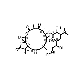 CC[C@H]1OC(=O)C(C)C(=O)[C@H](C)[C@@H](O[C@@H]2O[C@H](C(O)CNC(C)C)CC(N(C)C)C2O)[C@](C)(OC)C[C@@H](C)CN[C@H](C)[C@H]2NC(=O)O[C@@]21C